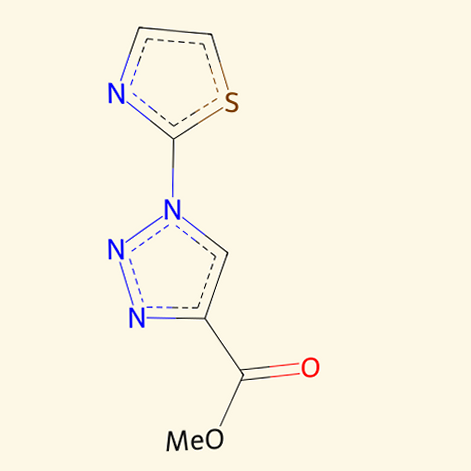 COC(=O)c1cn(-c2nccs2)nn1